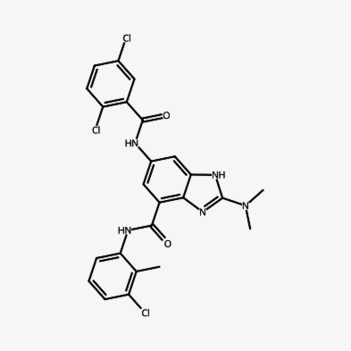 Cc1c(Cl)cccc1NC(=O)c1cc(NC(=O)c2cc(Cl)ccc2Cl)cc2[nH]c(N(C)C)nc12